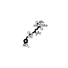 COC(=O)C(CCC(CNC(=O)OCc1ccc([N+](=O)[O-])cc1)SC(C)=O)NC(=O)OC(C)(C)C